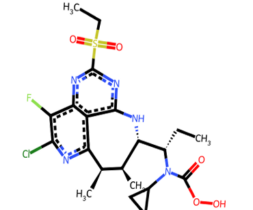 CC[C@@H]([C@H]1Nc2nc(S(=O)(=O)CC)nc3c(F)c(Cl)nc(c23)[C@H](C)[C@@H]1C)N(C(=O)OO)C1CC1